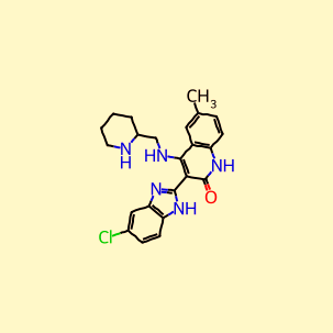 Cc1ccc2[nH]c(=O)c(-c3nc4cc(Cl)ccc4[nH]3)c(NCC3CCCCN3)c2c1